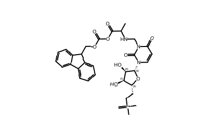 C=P(C)(C)CC[C@H]1O[C@@H](n2ccc(=O)n(CNC(C)C(=O)OC(=O)OCC3c4ccccc4-c4ccccc43)c2=O)[C@H](O)[C@@H]1O